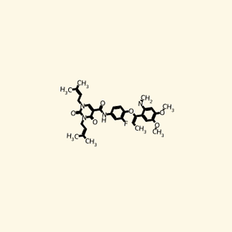 C=Nc1cc(OC)c(OC)cc1/C(=C\C)Oc1ccc(NC(=O)c2cn(CC=C(C)C)c(=O)n(CC=C(C)C)c2=O)cc1F